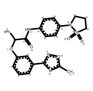 CCCC(Oc1cccc(-c2noc(C)n2)c1)C(=O)Nc1ccc(N2CCCS2(=O)=O)cc1